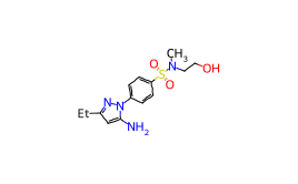 CCc1cc(N)n(-c2ccc(S(=O)(=O)N(C)CCO)cc2)n1